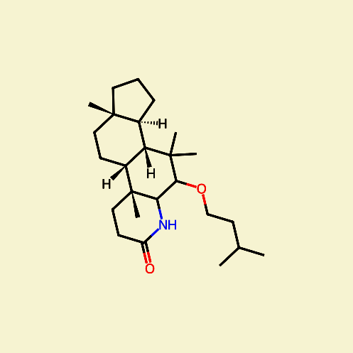 CC(C)CCOC1C2NC(=O)CC[C@]2(C)[C@@H]2CC[C@]3(C)CCC[C@H]3[C@@H]2C1(C)C